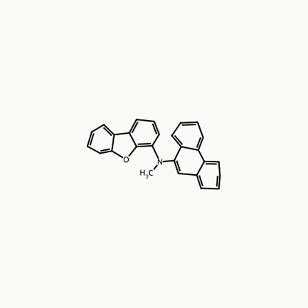 CN(c1cc2ccccc2c2ccccc12)c1cccc2c1oc1ccccc12